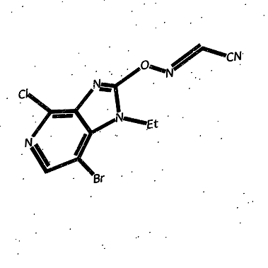 CCn1c(ON=CC#N)nc2c(Cl)ncc(Br)c21